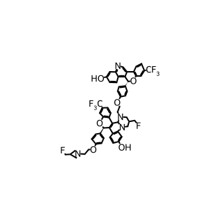 Oc1ccc2c(c1)N1CC(CF)CN(CCOc3ccc([C@H]4Oc5cc(C(F)(F)F)ccc5-c5cnc6cc(O)ccc6c54)cc3)C1C1=C2[C@@H](c2ccc(OCCN3CC(CF)C3)cc2)Oc2cc(C(F)(F)F)ccc21